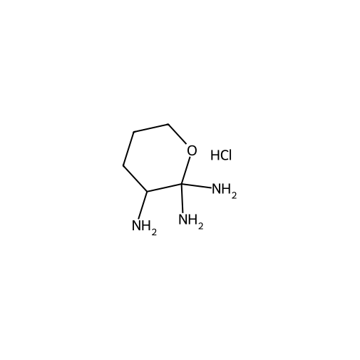 Cl.NC1CCCOC1(N)N